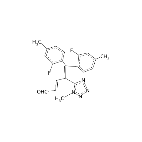 Cc1ccc(C(=C(/C=C/C=O)c2nnnn2C)c2ccc(C)cc2F)c(F)c1